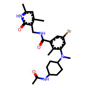 CC(=O)NC1CCC(N(C)c2cc(Br)cc(C(=O)NCc3c(C)cc(C)[nH]c3=O)c2C)CC1